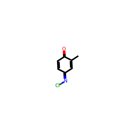 CC1=CC(=NCl)C=CC1=O